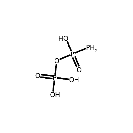 O=P(O)(O)OP(=O)(O)P